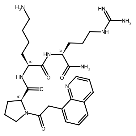 N=C(N)NCCC[C@H](NC(=O)[C@H](CCCCN)NC(=O)[C@@H]1CCCN1C(=O)Cc1cccc2cccnc12)C(N)=O